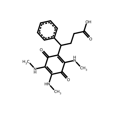 CNC1=C(NC)C(=O)C(C(CCC(=O)O)c2ccccc2)=C(NC)C1=O